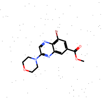 COC(=O)c1cc(Br)c2ncc(N3CCOCC3)nc2c1